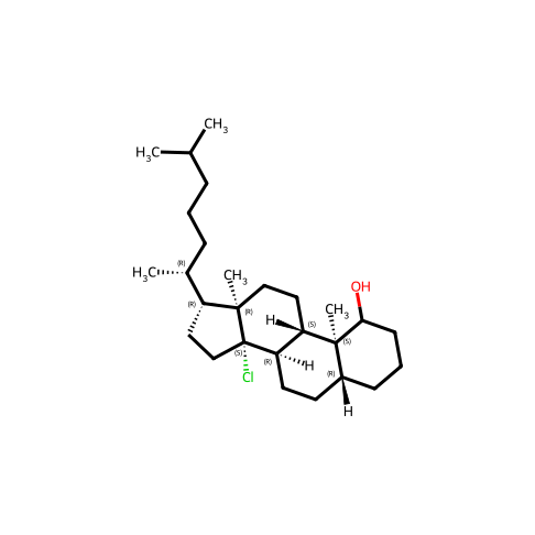 CC(C)CCC[C@@H](C)[C@H]1CC[C@]2(Cl)[C@@H]3CC[C@H]4CCCC(O)[C@]4(C)[C@H]3CC[C@]12C